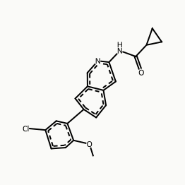 COc1ccc(Cl)cc1-c1ccc2cc(NC(=O)C3CC3)ncc2c1